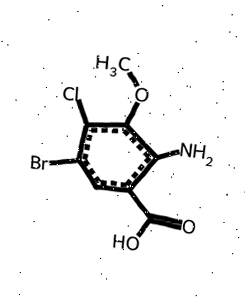 COc1c(N)c(C(=O)O)cc(Br)c1Cl